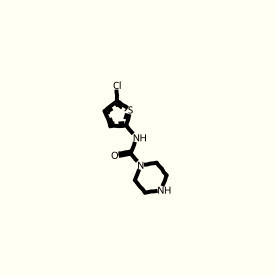 O=C(Nc1ccc(Cl)s1)N1CCNCC1